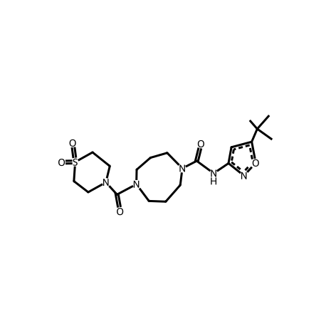 CC(C)(C)c1cc(NC(=O)N2CCCN(C(=O)N3CCS(=O)(=O)CC3)CCC2)no1